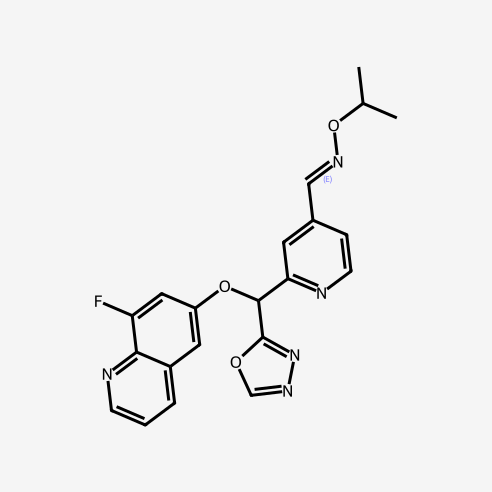 CC(C)O/N=C/c1ccnc(C(Oc2cc(F)c3ncccc3c2)c2nnco2)c1